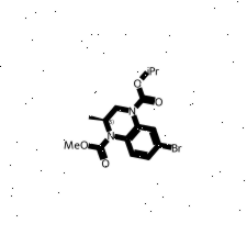 COC(=O)N1c2ccc(Br)cc2N(C(=O)OC(C)C)C[C@@H]1C